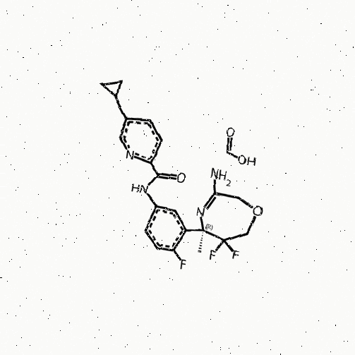 C[C@]1(c2cc(NC(=O)c3ccc(C4CC4)cn3)ccc2F)N=C(N)COCC1(F)F.O=CO